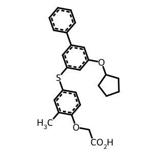 Cc1cc(Sc2cc(OC3CCCC3)cc(-c3ccccc3)c2)ccc1OCC(=O)O